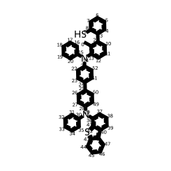 Cc1c(-c2ccccc2S)cccc1N(c1ccccc1)c1ccc(-c2ccc(N(c3ccccc3)c3cccc4c3sc3ccccc34)cc2)cc1